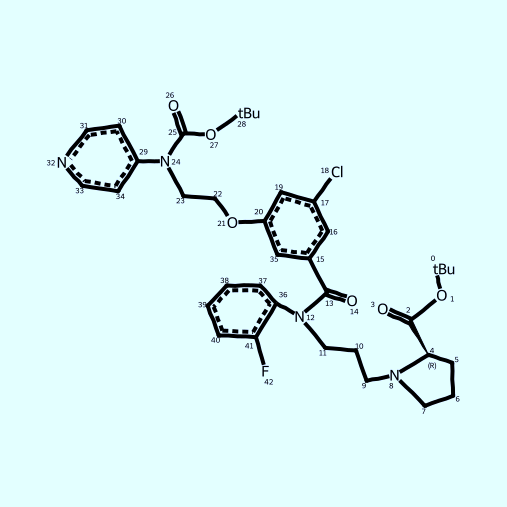 CC(C)(C)OC(=O)[C@H]1CCCN1CCCN(C(=O)c1cc(Cl)cc(OCCN(C(=O)OC(C)(C)C)c2ccncc2)c1)c1ccccc1F